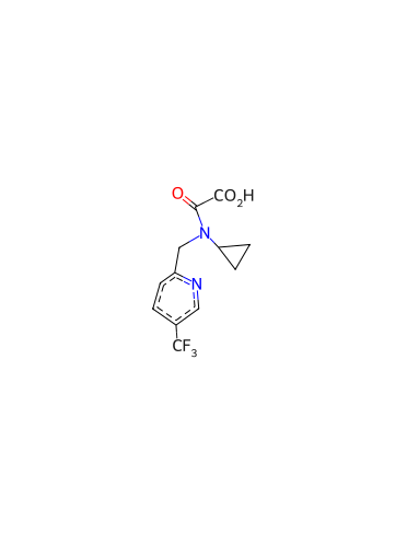 O=C(O)C(=O)N(Cc1ccc(C(F)(F)F)cn1)C1CC1